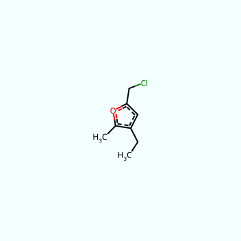 CCc1cc(CCl)oc1C